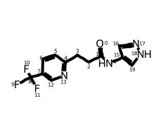 O=C(CCc1ccc(C(F)(F)F)cn1)Nc1cn[nH]c1